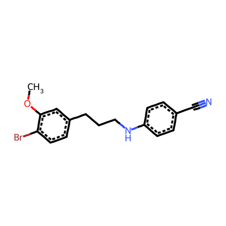 COc1cc(CCCNc2ccc(C#N)cc2)ccc1Br